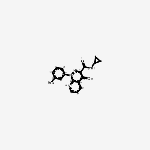 O=C(NC1CC1)c1nn(-c2cccc(Br)c2)c2ncccc2c1=O